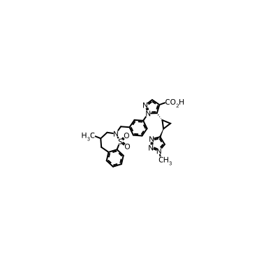 CC1Cc2ccccc2S(=O)(=O)N(Cc2cccc(-n3ncc(C(=O)O)c3[C@@H]3C[C@H]3c3cn(C)nn3)c2)C1